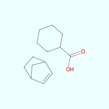 C1=CC2CCC1C2.O=C(O)C1CCCCC1